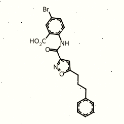 O=C(Nc1ccc(Br)cc1C(=O)O)c1cc(CCCc2ccccc2)on1